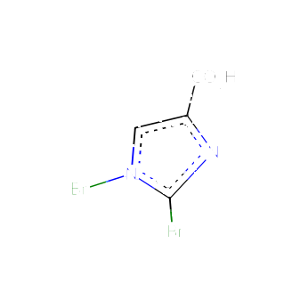 O=C(O)c1cn(Br)c(Br)n1